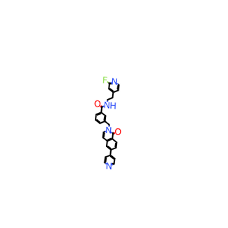 O=C(NCCc1ccnc(F)c1)c1cccc(Cn2ccc3cc(-c4ccncc4)ccc3c2=O)c1